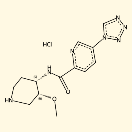 CO[C@@H]1CNCC[C@@H]1NC(=O)c1ccc(-n2cnnn2)cn1.Cl